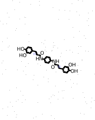 O=C(/C=C/c1ccc(O)c(O)c1)Nc1ccc(NC(=O)/C=C/c2ccc(O)c(O)c2)cc1